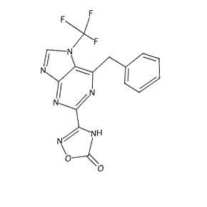 O=c1[nH]c(-c2nc(Cc3ccccc3)c3c(ncn3C(F)(F)F)n2)no1